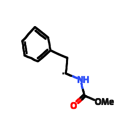 COC(=O)N[CH]Cc1ccccc1